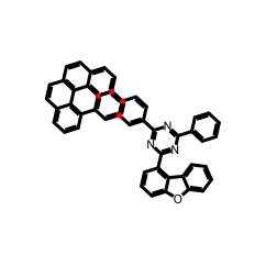 c1ccc(-c2nc(-c3ccc(-c4ccc5ccc6ccc7cccc(-c8ccccc8)c7c6c5c4)cc3)nc(-c3cccc4oc5ccccc5c34)n2)cc1